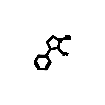 CCN1CCC(c2ccccc2)C1C(C)C